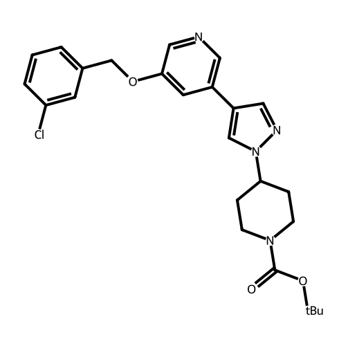 CC(C)(C)OC(=O)N1CCC(n2cc(-c3cncc(OCc4cccc(Cl)c4)c3)cn2)CC1